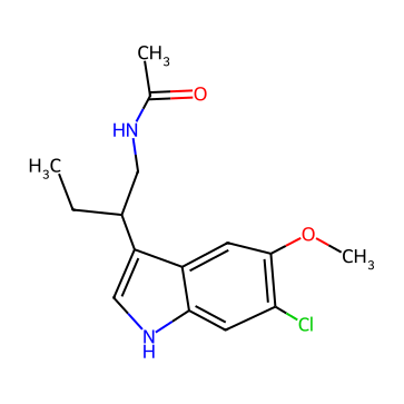 CCC(CNC(C)=O)c1c[nH]c2cc(Cl)c(OC)cc12